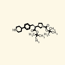 CC(C)(C)OC(=O)[C@@H](Cc1ccc(C2CCNCC2)cc1)[C@H]1CCN(C(=O)OC(C)(C)C)C1